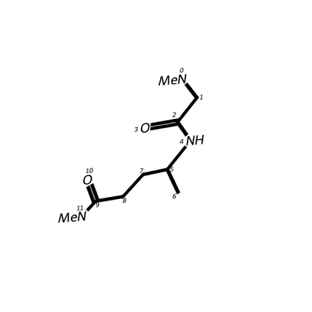 CNCC(=O)NC(C)CCC(=O)NC